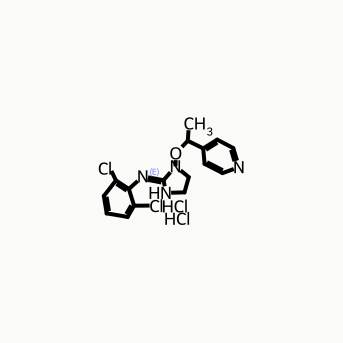 CC(ON1CCN/C1=N\c1c(Cl)cccc1Cl)c1ccncc1.Cl.Cl